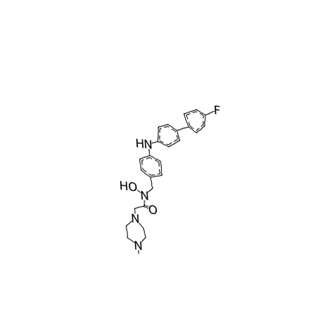 CN1CCN(CC(=O)N(O)Cc2ccc(Nc3ccc(-c4ccc(F)cc4)cc3)cc2)CC1